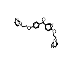 O=C(c1ccc(OCCn2ccnc2)cc1)c1ccc(OCCn2ccnc2)nc1